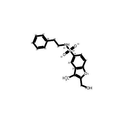 Cc1c(CO)oc2ccc(S(=O)(=O)NCCc3ccccc3)cc12